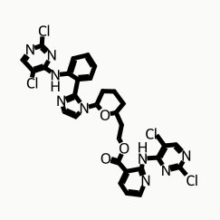 O=C(OCCC1CCCC(n2ccnc2-c2ccccc2Nc2nc(Cl)ncc2Cl)O1)c1cccnc1Nc1nc(Cl)ncc1Cl